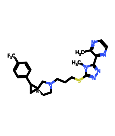 Cc1nccnc1-c1nnc(SCCCN2CC[C@@]3(CC3c3ccc(C(F)(F)F)cc3)C2)n1C